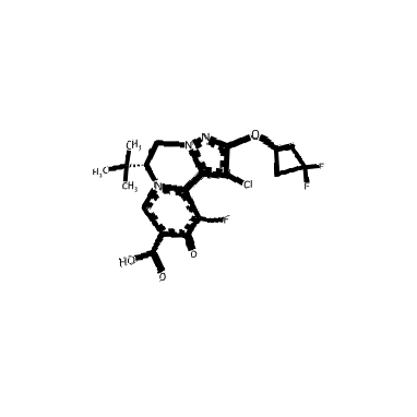 CC(C)(C)[C@@H]1Cn2nc(OC3CC(F)(F)C3)c(Cl)c2-c2c(F)c(=O)c(C(=O)O)cn21